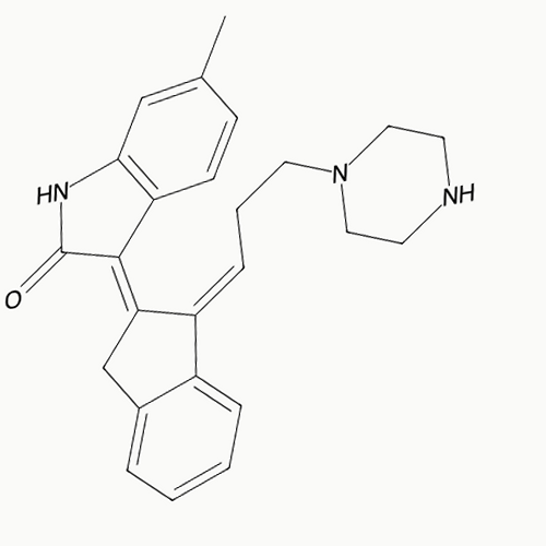 Cc1ccc2c(c1)NC(=O)/C2=C1\Cc2ccccc2\C1=C\CCN1CCNCC1